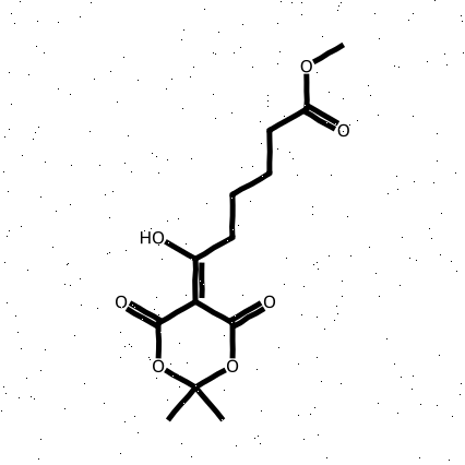 COC(=O)CCCCC(O)=C1C(=O)OC(C)(C)OC1=O